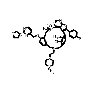 CCOC(=O)[C@H]1Cc2cc(ccc2OCc2ccnc([C@@H]3CCOC3)n2)CN(CCN2CCN(C)CC2)Cc2ccc(c(C)c2Cl)-c2c(-c3ccc(F)cc3)sc3ncnc(c23)O1